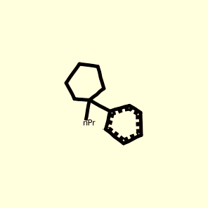 CCCC1(c2[c]cccc2)CCCCC1